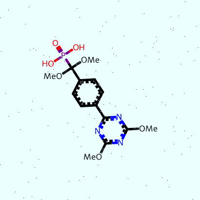 COc1nc(OC)nc(-c2ccc(C(OC)(OC)P(=O)(O)O)cc2)n1